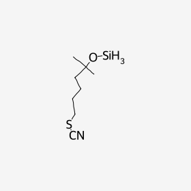 CC(C)(CCCCSC#N)O[SiH3]